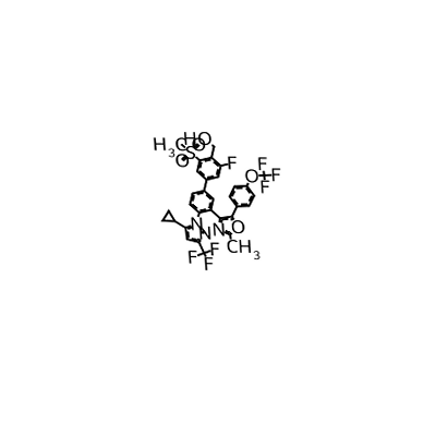 Cc1nc(-c2cc(-c3cc(F)c(CO)c(S(C)(=O)=O)c3)ccc2-n2nc(C(F)(F)F)cc2C2CC2)c(-c2ccc(OC(F)(F)F)cc2)o1